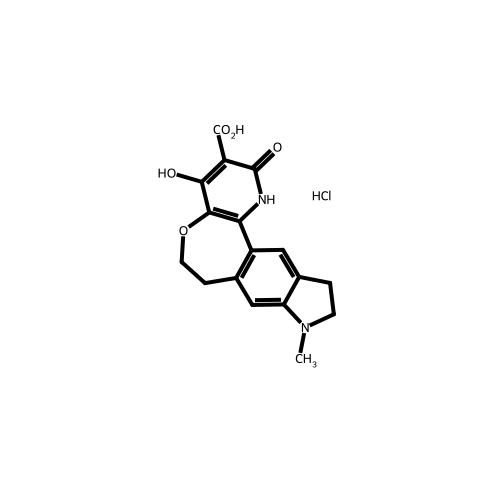 CN1CCc2cc3c(cc21)CCOc1c-3[nH]c(=O)c(C(=O)O)c1O.Cl